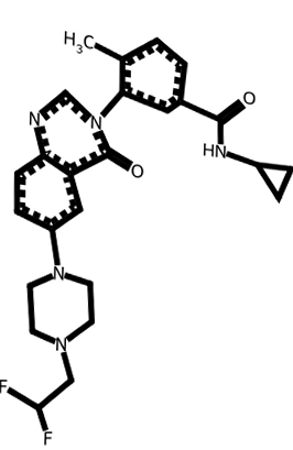 Cc1ccc(C(=O)NC2CC2)cc1-n1cnc2ccc(N3CCN(CC(F)F)CC3)cc2c1=O